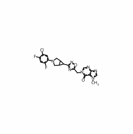 Cn1cnc2ncn(Cc3nc(C4C5CN(c6cc(Cl)c(F)cc6F)CC54)no3)c(=O)c21